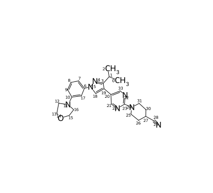 CC(C)c1nn(-c2cccc(N3CCOCC3)c2)cc1-c1cnc(N2CCC(C#N)CC2)nc1